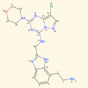 NCCc1cccc2nc(CNc3nc(N4CCOCC4)nc4c(Cl)cnn34)[nH]c12